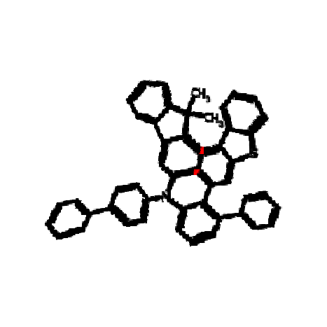 CC1(C)c2ccccc2-c2cc(N(c3ccc(-c4ccccc4)cc3)c3cccc(-c4ccccc4)c3-c3ccc4c(c3)sc3ccccc34)ccc21